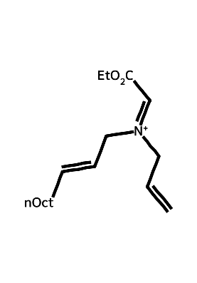 C=CC[N+](=CC(=O)OCC)CC=CCCCCCCCC